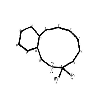 CC(C)C1(C(C)C)CCCCCCC2CCCCC2CN1